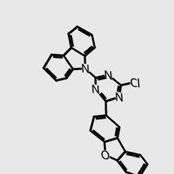 Clc1nc(-c2ccc3oc4ccccc4c3c2)nc(-n2c3ccccc3c3ccccc32)n1